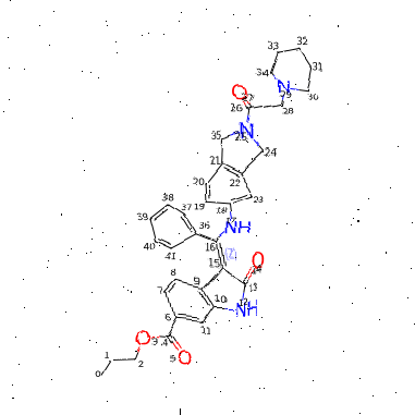 CCCOC(=O)c1ccc2c(c1)NC(=O)/C2=C(\Nc1ccc2c(c1)CN(C(=O)CN1CCCCC1)C2)c1ccccc1